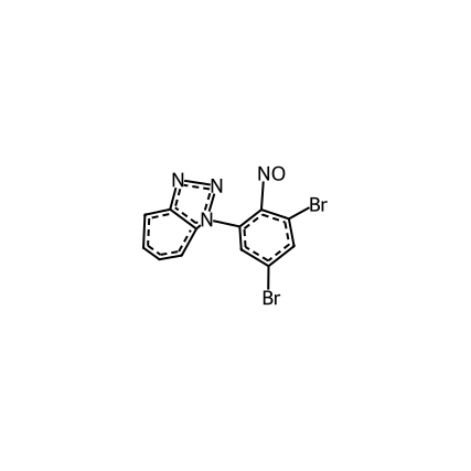 O=Nc1c(Br)cc(Br)cc1-n1nnc2ccccc21